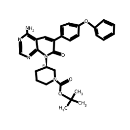 CC(C)(C)OC(=O)N1CCC[C@@H](n2c(=O)c(-c3ccc(Oc4ccccc4)cc3)cc3c(N)ncnc32)C1